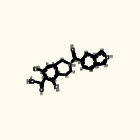 O=C(O)c1c(Cl)cc2c(c1Cl)CCN(C(=O)c1ccc3cocc3c1)C2